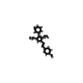 Cc1cc(/C=C/c2ccc(F)cc2)c(C)n1-c1cccnc1